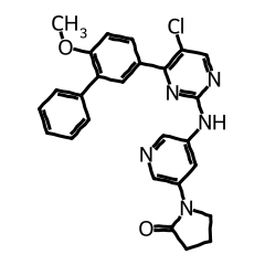 COc1ccc(-c2nc(Nc3cncc(N4CCCC4=O)c3)ncc2Cl)cc1-c1ccccc1